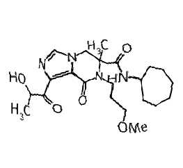 COCCCN1C(=O)c2c(C(=O)C(C)O)ncn2CC1(C)C(=O)NC1CCCCCC1